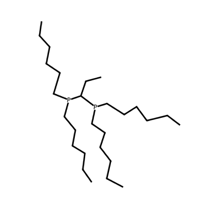 CCCCCCP(CCCCCC)C(CC)P(CCCCCC)CCCCCC